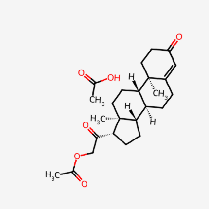 CC(=O)O.CC(=O)OCC(=O)[C@H]1CC[C@H]2[C@@H]3CCC4=CC(=O)CC[C@]4(C)[C@H]3CC[C@]12C